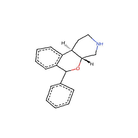 c1ccc(C2O[C@H]3CNCC[C@@H]3c3ccccc32)cc1